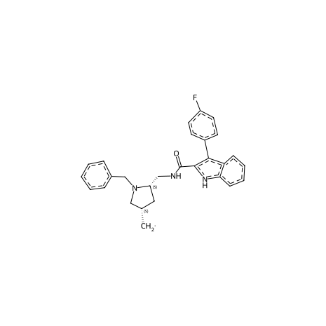 [CH2][C@H]1C[C@@H](CNC(=O)c2[nH]c3ccccc3c2-c2ccc(F)cc2)N(Cc2ccccc2)C1